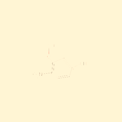 CCCOc1cc(C)ccc1[N+](=O)[O-]